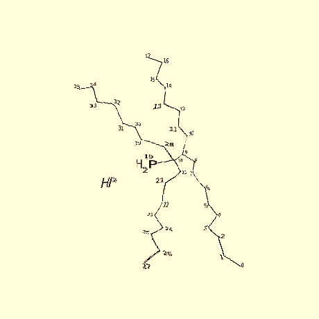 CCCCCCCCCC(CCCCCCCC)C(P)(CCCCCCCC)CCCCCCCC.I